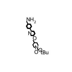 CC(C)(C)OC(=O)N1CCC(COc2ccc(-c3ccc(CN)cc3)nc2)CC1